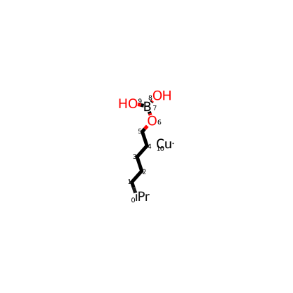 CC(C)CCCCCOB(O)O.[Cu]